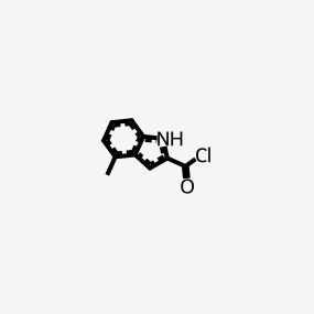 Cc1cccc2[nH]c(C(=O)Cl)cc12